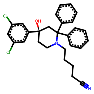 N#CCCCCN1CC[C@](O)(c2cc(Cl)cc(Cl)c2)CC1(c1ccccc1)c1ccccc1